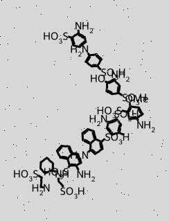 COc1ccc(N)cc1S(=O)(=O)O.Cc1ccc(N)c(S(=O)(=O)O)c1.NCCS(=O)(=O)O.Nc1cc(S(=O)(=O)O)ccc1O.Nc1ccc(S(=O)(=O)O)c2ccccc12.Nc1ccc(S(=O)(=O)O)cc1.Nc1ccc2ccccc2c1S(=O)(=O)O.Nc1ccccc1S(=O)(=O)O.O=S(=O)(O)CCNC1CCCCC1